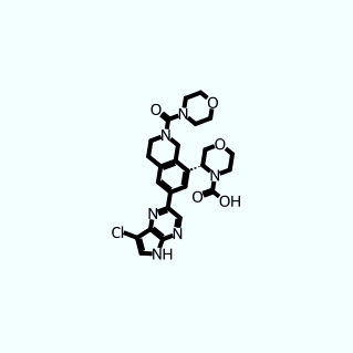 O=C(N1CCOCC1)N1CCc2cc(-c3cnc4[nH]cc(Cl)c4n3)cc([C@@H]3COCCN3C(=O)O)c2C1